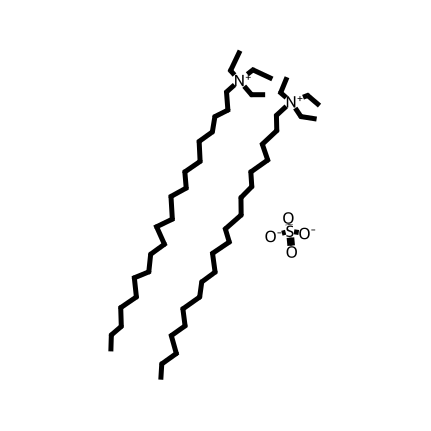 CCCCCCCCCCCCCCCCCCCC[N+](CC)(CC)CC.CCCCCCCCCCCCCCCCCCCC[N+](CC)(CC)CC.O=S(=O)([O-])[O-]